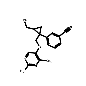 Cc1ncc(OCC2(c3cccc(C#N)c3)CC2CO)c(C)n1